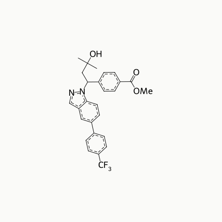 COC(=O)c1ccc(C(CC(C)(C)O)n2ncc3cc(-c4ccc(C(F)(F)F)cc4)ccc32)cc1